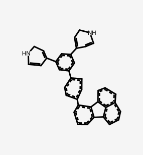 C1=CC(c2cc(C3=CCNC=C3)cc(-c3ccc(-c4cccc5c4-c4cccc6cccc-5c46)cc3)c2)=CCN1